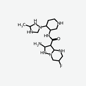 CC1NCN(C2CCNCC2NC(=O)C2C(N)NN3CC(F)CNC23)N1